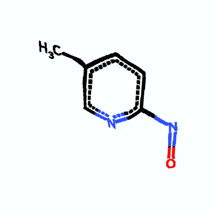 Cc1ccc(N=O)nc1